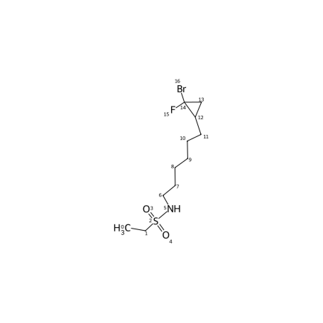 CCS(=O)(=O)NCCCCCCC1CC1(F)Br